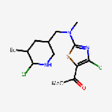 CCC(C)C1CC(CN(C)c2nc(Cl)c(C(=O)OC)s2)CNC1Cl